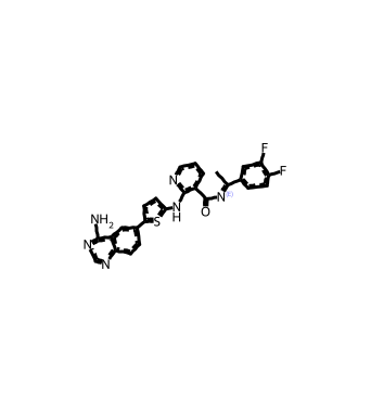 C/C(=N\C(=O)c1cccnc1Nc1ccc(-c2ccc3ncnc(N)c3c2)s1)c1ccc(F)c(F)c1